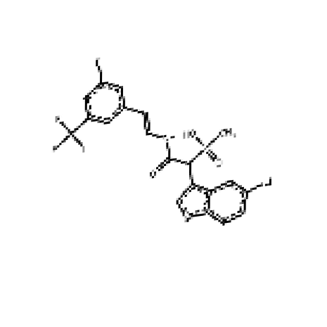 CP(=O)(O)C(C(=O)N/C=C/c1cc(F)cc(C(F)(F)F)c1)c1csc2ccc(Cl)cc12